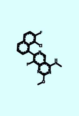 CNc1nc(OC)nc2c(F)c(-c3cccc4ccc(F)c(Cl)c34)ncc12